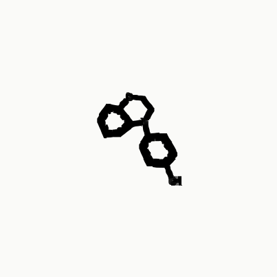 Oc1ccc(N2CCOc3ccccc32)cc1